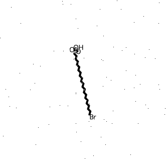 O=S(=O)(O)CCCCCCCCCCCCCCCCCCCCCCCBr